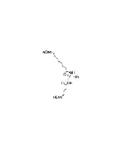 CCCCCCCCCCCCCCCCCC(=O)N[C@@H](CNC(=O)CCCCCCCCCCCCC)C(C)C